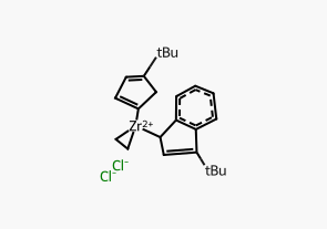 CC(C)(C)C1=CC=[C]([Zr+2]2([CH]3C=C(C(C)(C)C)c4ccccc43)[CH2][CH2]2)C1.[Cl-].[Cl-]